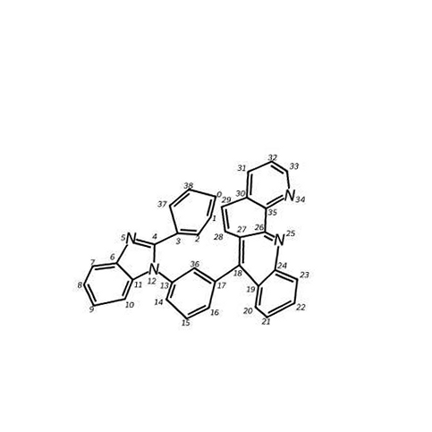 c1ccc(-c2nc3ccccc3n2-c2cccc(-c3c4ccccc4nc4c3ccc3cccnc34)c2)cc1